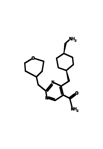 NC[C@H]1CC[C@@H](Cc2nc(CC3CCOCC3)ncc2C(N)=O)CC1